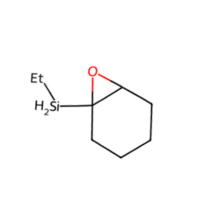 CC[SiH2]C12CCCCC1O2